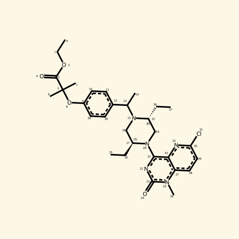 CCOC(=O)C(C)(C)Oc1ccc(C(C)N2C[C@H](CC)N(c3nc(=O)n(C)c4ccc(Cl)nc34)C[C@H]2CC)cc1